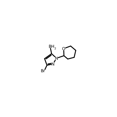 Bc1cc(Br)nn1C1CCCCO1